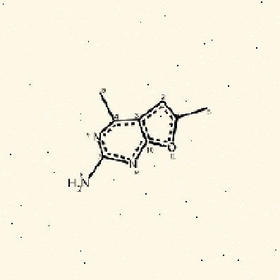 Cc1cc2c(C)nc(N)nc2o1